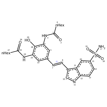 CCCCCCC(=O)Nc1cc(/N=N/c2snc3ccc(S(N)(=O)=O)cc23)cc(NC(=O)CCCCCC)c1O